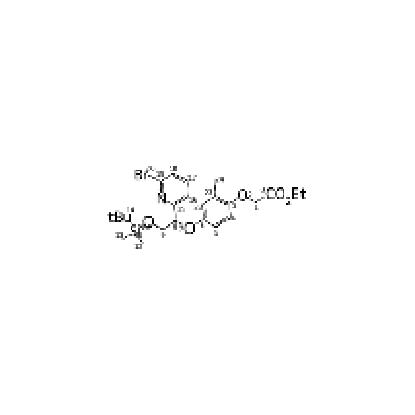 CCOC(=O)COc1ccc(OC(CO[Si](C)(C)C(C)(C)C)c2cccc(Br)n2)cc1C